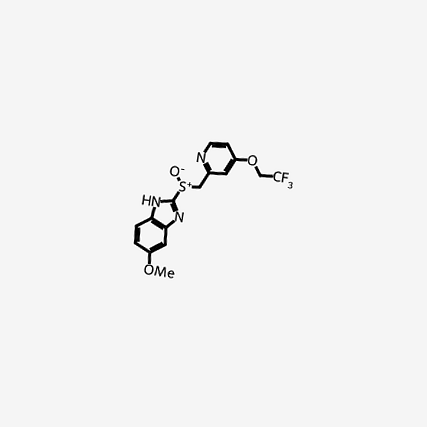 COc1ccc2[nH]c([S+]([O-])Cc3cc(OCC(F)(F)F)ccn3)nc2c1